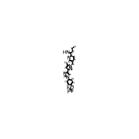 CCCC(=N)c1ccc(Cn2nc(-c3cn(-c4ccc(OC(F)(F)F)cc4)cn3)cc2C)cn1